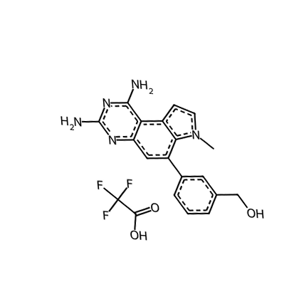 Cn1ccc2c3c(N)nc(N)nc3cc(-c3cccc(CO)c3)c21.O=C(O)C(F)(F)F